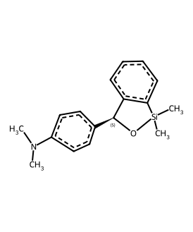 CN(C)c1ccc([C@@H]2O[Si](C)(C)c3ccccc32)cc1